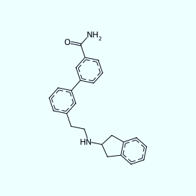 NC(=O)c1cccc(-c2cccc(CCNC3Cc4ccccc4C3)c2)c1